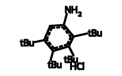 CC(C)(C)c1cc(N)c(C(C)(C)C)c(C(C)(C)C)c1C(C)(C)C.Cl